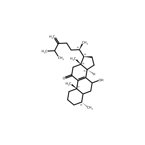 C=C(CC[C@@H](C)[C@H]1CC[C@H]2C3=C(C(=O)C[C@]12C)[C@@]1(C)CCC[C@@H](C)C1CC3O)C(C)C